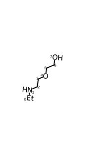 CCNCCOCCO